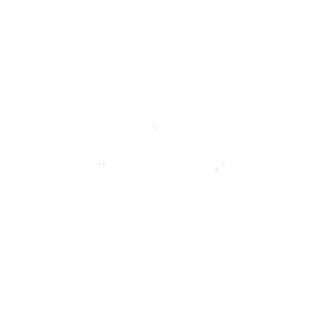 COC(=O)c1c[nH]c2cncc(Cl)c12